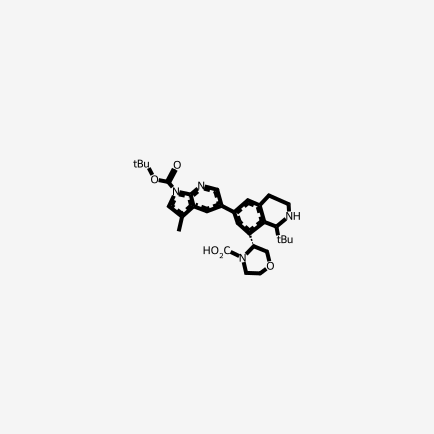 Cc1cn(C(=O)OC(C)(C)C)c2ncc(-c3cc4c(c([C@@H]5COCCN5C(=O)O)c3)C(C(C)(C)C)NCC4)cc12